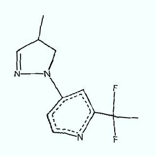 CC1C=NN(c2ccnc(C(C)(F)F)c2)C1